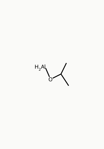 CC(C)[O][AlH2]